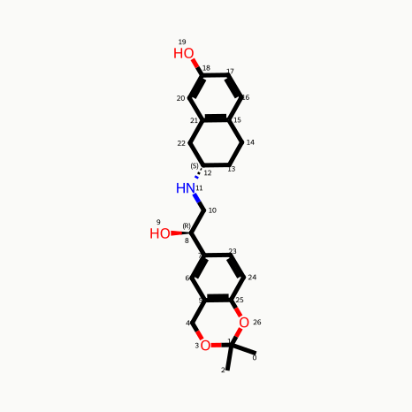 CC1(C)OCc2cc([C@@H](O)CN[C@H]3CCc4ccc(O)cc4C3)ccc2O1